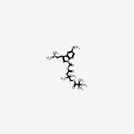 COc1ccc2c(c1)c(CCN(C)C)cn2C(=O)OC(=O)CC(C)(C)COC(=O)C(C)(C)C